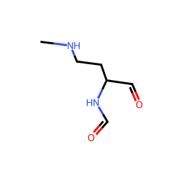 CNCCC(C=O)NC=O